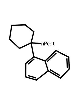 [CH2]CCCCC1(c2cccc3ccccc23)CCCCC1